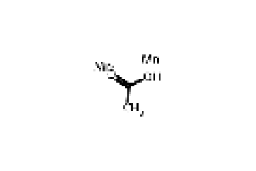 CC(=O)O.[Mn].[Mn]